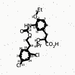 CCOc1ccc(CC(OC(C)C)C(=O)O)cc1NC(=O)OCCc1ccc(Cl)cc1Cl